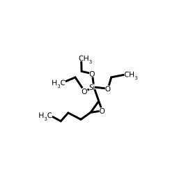 CCCCC1OC1[Si](OCC)(OCC)OCC